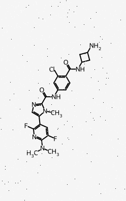 CN(C)c1nc(F)c(-c2cnc(C(=O)Nc3ccc(C(=O)NC4CC(N)C4)c(Cl)c3)n2C)cc1F